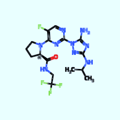 CC(C)Nc1nc(N)n(-c2ncc(F)c(N3CCC[C@@H]3C(=O)NCC(F)(F)F)n2)n1